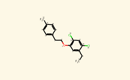 FC(F)(F)[CH]c1cc(OCCc2ccc(C(F)(F)F)cc2)c(Cl)cc1Cl